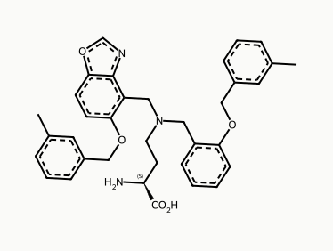 Cc1cccc(COc2ccccc2CN(CC[C@H](N)C(=O)O)Cc2c(OCc3cccc(C)c3)ccc3ocnc23)c1